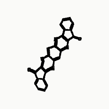 O=c1c2ccccc2c2nc3cc4nc5c(=O)c6ccccc6c5nc4cc3nc12